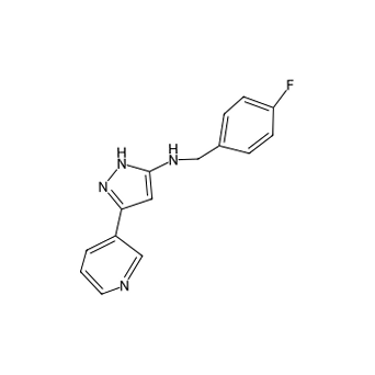 Fc1ccc(CNc2cc(-c3cccnc3)n[nH]2)cc1